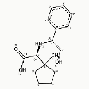 CC1([C@H](N[C@@H](CO)c2ccccc2)C(=O)O)CCCC1